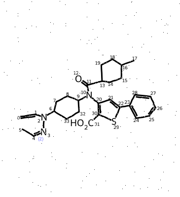 C=CN(/N=C\C)C1CCC(N(C(=O)C2CCC(C)CC2)c2cc(-c3ccccc3)sc2C(=O)O)CC1